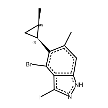 Cc1cc2[nH]nc(I)c2c(Br)c1[C@H]1C[C@H]1C